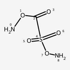 NOC(=O)S(=O)(=O)ON